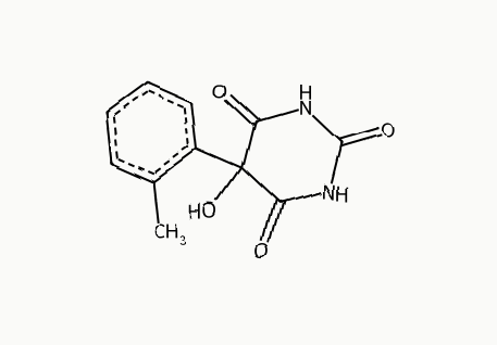 Cc1ccccc1C1(O)C(=O)NC(=O)NC1=O